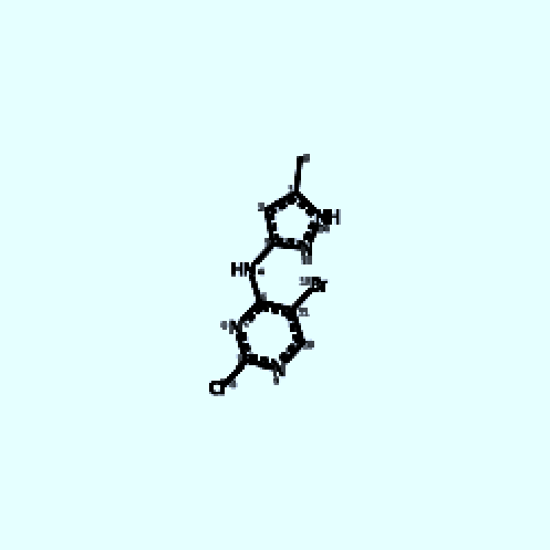 Cc1cc(Nc2nc(Cl)ncc2Br)n[nH]1